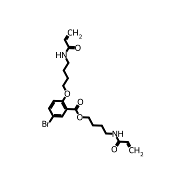 C=CC(=O)NCCCCOC(=O)c1cc(Br)ccc1OCCCCNC(=O)C=C